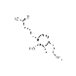 NC1Cc2ccc(OCCC(=O)O)c(O)c2C1